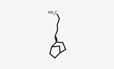 O=C(O)CCCC=C1CCC2CCC1C2